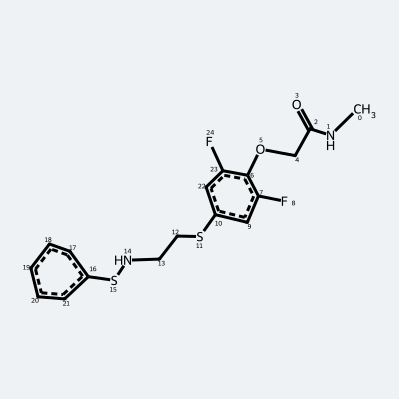 CNC(=O)COc1c(F)cc(SCCNSc2ccccc2)cc1F